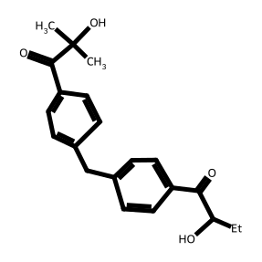 CCC(O)C(=O)c1ccc(Cc2ccc(C(=O)C(C)(C)O)cc2)cc1